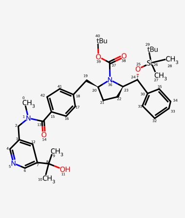 CN(Cc1cncc(C(C)(C)O)c1)C(=O)c1ccc(C[C@@H]2CC[C@H]([C@H](O[Si](C)(C)C(C)(C)C)c3ccccc3)N2C(=O)OC(C)(C)C)cc1